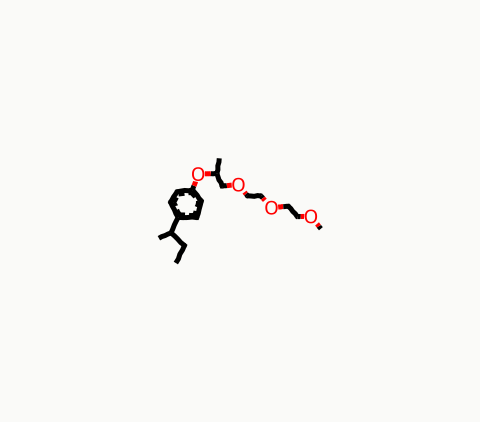 CCC(C)c1ccc(OC(C)COCCOCCOC)cc1